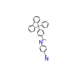 C/C(=N\c1ccc(C#N)cc1)c1ccc(C2(c3ccccc3)c3ccccc3-c3ccccc32)cc1